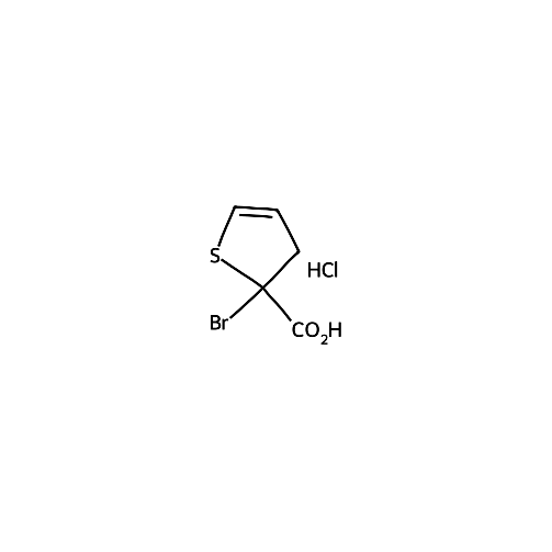 Cl.O=C(O)C1(Br)CC=CS1